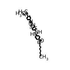 CCCCCCCCOC(=O)c1ccc(NNc2cc3sc(/N=N/c4ccc(N(CC)CC)cc4)nc3s2)cc1